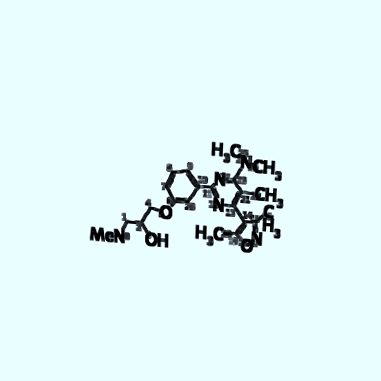 CNCC(O)COc1cccc(-c2nc(-c3c(C)noc3C)c(C)c(N(C)C)n2)c1